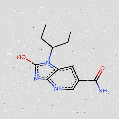 CCC(CC)n1c(O)nc2ncc(C(N)=O)cc21